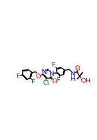 CC(C)(O)C(=O)NCc1cc(F)c(-n2cnc(OCc3ccc(F)cc3F)c(Cl)c2=O)c(F)c1